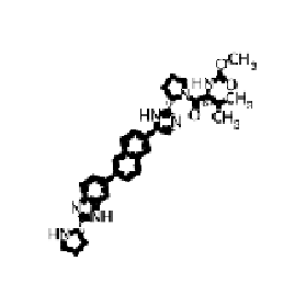 COC(=O)N[C@H](C(=O)N1CCC[C@H]1c1ncc(-c2ccc3cc(-c4ccc5nc([C@@H]6CCCN6)[nH]c5c4)ccc3c2)[nH]1)C(C)C